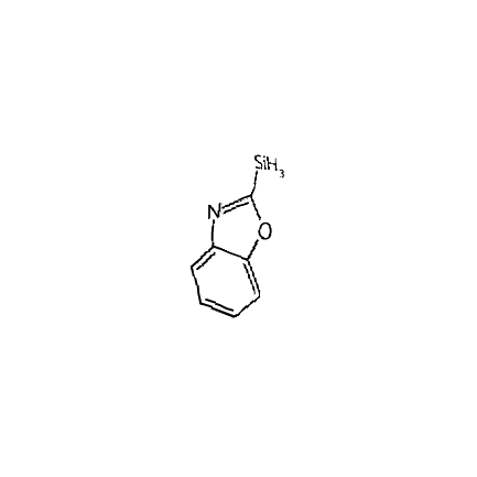 [SiH3]c1nc2ccccc2o1